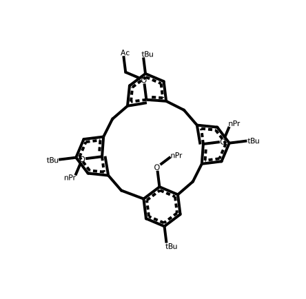 CCCOc1c2cc(C(C)(C)C)cc1Cc1cc(C(C)(C)C)cc(c1OCCC)Cc1cc(C(C)(C)C)cc(c1OCC(C)=O)Cc1cc(C(C)(C)C)cc(c1OCCC)C2